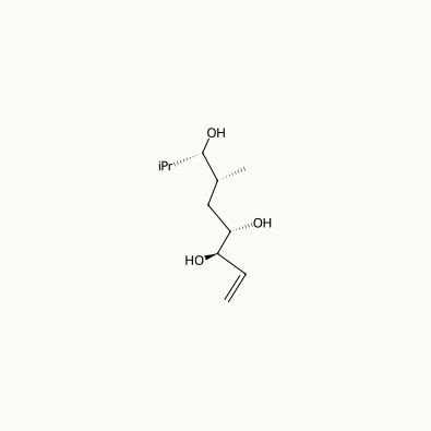 C=C[C@@H](O)[C@@H](O)C[C@@H](C)[C@@H](O)C(C)C